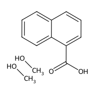 CO.CO.O=C(O)c1cccc2ccccc12